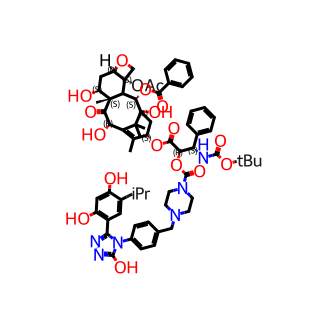 CC(=O)O[C@@]12CO[C@@H]1C[C@H](O)[C@@]1(C)C(=O)[C@H](O)C3=C(C)[C@@H](OC(=O)[C@H](OC(=O)N4CCN(Cc5ccc(-n6c(O)nnc6-c6cc(C(C)C)c(O)cc6O)cc5)CC4)[C@@H](NC(=O)OC(C)(C)C)c4ccccc4)C[C@@](O)([C@@H](OC(=O)c4ccccc4)C12)C3(C)C